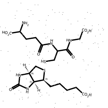 NC(CCC(=O)NC(CS)C(=O)NCC(=O)O)C(=O)O.O=C(O)CCCC[C@@H]1SC[C@@H]2NC(=O)N[C@@H]21